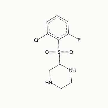 O=S(=O)(c1c(F)cccc1Cl)C1CNCCN1